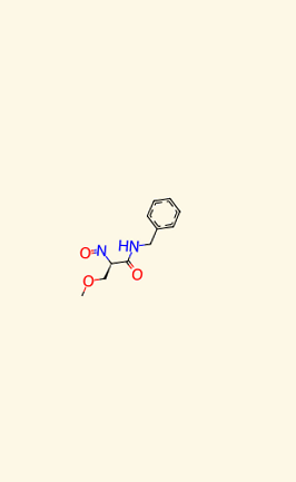 COC[C@@H](N=O)C(=O)NCc1ccccc1